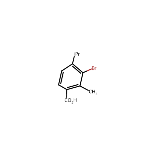 Cc1c(C(=O)O)ccc(C(C)C)c1Br